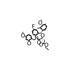 CCOC(=O)C[C@H]1O[C@H](c2cccc(OC)c2C)c2cc(F)ccc2N(Cc2ccc(OC)cc2OC)C1=O